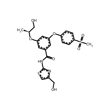 C[C@@H](CO)Oc1cc(Oc2ccc(S(C)(=O)=O)cc2)cc(C(=O)Nc2nc(CO)cs2)c1